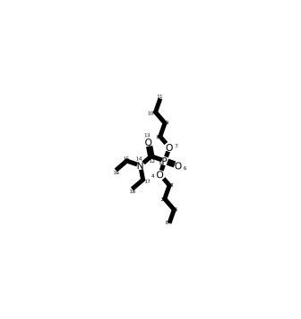 CCCCOP(=O)(OCCCC)C(=O)N(CC)CC